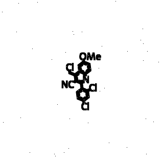 COc1ccc2nc(-c3ccc(Cl)cc3Cl)c(C#N)c(CCl)c2c1